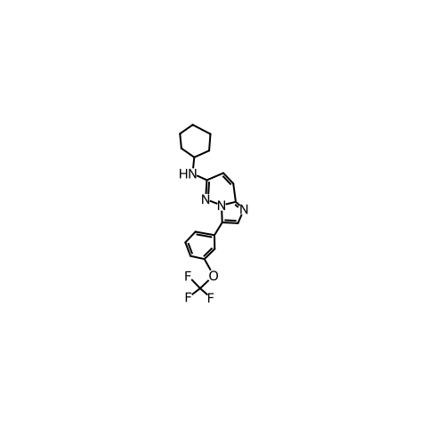 FC(F)(F)Oc1cccc(-c2cnc3ccc(NC4CCCCC4)nn23)c1